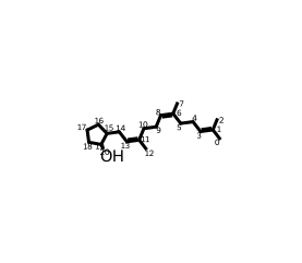 CC(C)=CCCC(C)=CCCC(C)=CCC1CCCC1O